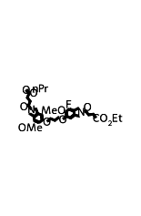 CCCOC(=O)CCC(=O)N1Cc2cc(OC)c(OCCCOc3cc4c(c(F)c3OC)CN(C(=O)CCC(=O)OCC)C4)cc2C1